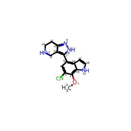 COc1c(Cl)cc(-c2[nH]nc3c2CNCC3)c2cc[nH]c12